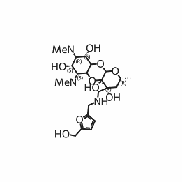 CN[C@@H]1[C@H](O)[C@H](NC)C2O[C@]3(O)C(OC2[C@H]1O)O[C@H](C)C[C@@]3(O)CNCc1ccc(CO)o1